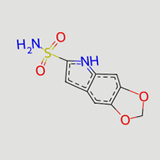 NS(=O)(=O)c1cc2cc3c(cc2[nH]1)OCO3